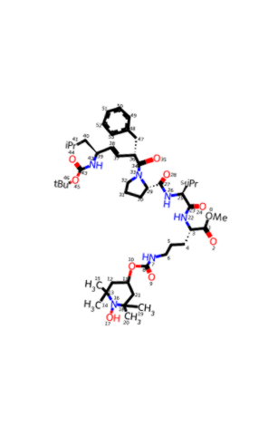 COC(=O)[C@H](CCCNC(=O)OC1CC(C)(C)N(O)C(C)(C)C1)NC(=O)[C@@H](NC(=O)[C@@H]1CCCN1C(=O)[C@H](/C=C/[C@H](CC(C)C)NC(=O)OC(C)(C)C)Cc1ccccc1)C(C)C